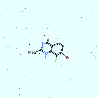 CSc1nc(=O)c2ccc(Br)c(F)c2[nH]1